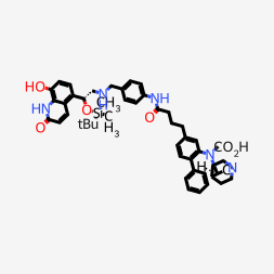 CC(C)(C)[Si](C)(C)O[C@@H](CNCc1ccc(NC(=O)CCCc2ccc(-c3ccccc3)c(N(C(=O)O)[C@H]3CN4CCC3CC4)c2)cc1)c1ccc(O)c2[nH]c(=O)ccc12